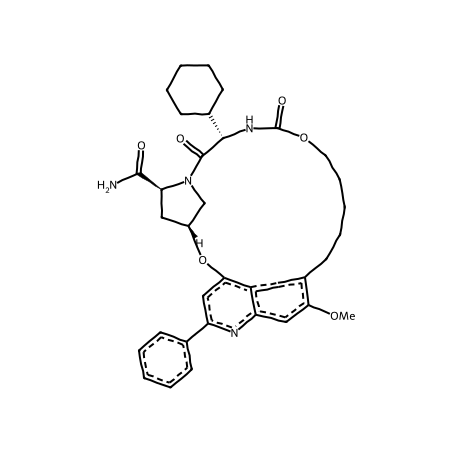 COc1cc2nc(-c3ccccc3)cc3c2cc1CCCCCOC(=O)N[C@@H](C1CCCCC1)C(=O)N1C[C@@H](C[C@H]1C(N)=O)O3